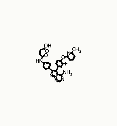 Cc1cccc(Oc2ccc(-c3c(-c4ccc(NC(=O)/C=C\C(=O)O)cc4)nn4ncnc(N)c34)cc2F)n1